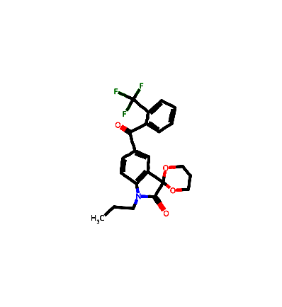 CCCN1C(=O)C2(OCCCO2)c2cc(C(=O)c3ccccc3C(F)(F)F)ccc21